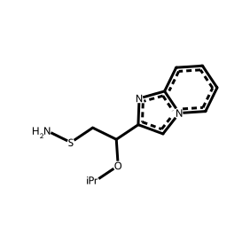 CC(C)OC(CSN)c1cn2ccccc2n1